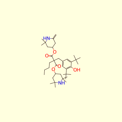 C=C1CC(OC(=O)C(CCCC)(Cc2cc(C(C)(C)C)c(O)c(C(C)(C)C)c2)C(=O)OC2CC(C)(C)NC(C)(C)C2)CC(C)(C)N1